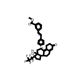 COC(=O)c1cccc(/C=C/c2ccc([C@H]3CC4(C)C(CC[C@@]4(O)C(F)(F)C(F)(F)F)C4CCC5=CC(=O)CCC5=C43)cc2)c1